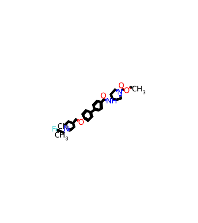 CCOC(=O)N1CCC(NC(=O)c2ccc(-c3ccc(OCC4CCN(CC(C)(C)F)CC4)cc3)cc2)CC1